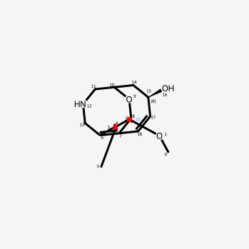 COc1cc(C)c2c3c1OC(CNC2)C[C@@H](O)/C=C\3